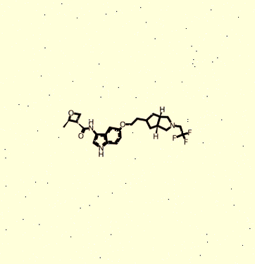 C[C@H]1OC[C@H]1C(=O)Nc1c[nH]c2ccc(OCCC3C[C@@H]4CN(CC(F)(F)F)C[C@@H]4C3)cc12